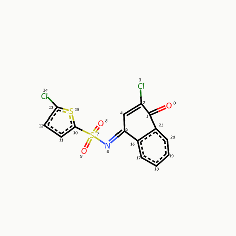 O=C1C(Cl)=C/C(=N\S(=O)(=O)c2ccc(Cl)s2)c2ccccc21